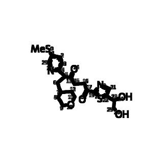 CSc1ccc(C(CC2CCOCC2)C(=O)CCC(=O)c2ncc(C(O)CO)s2)nc1